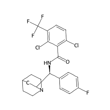 O=C(N[C@@H](c1ccc(F)cc1)C1CC2CCN1CC2)c1c(Cl)ccc(C(F)(F)F)c1Cl